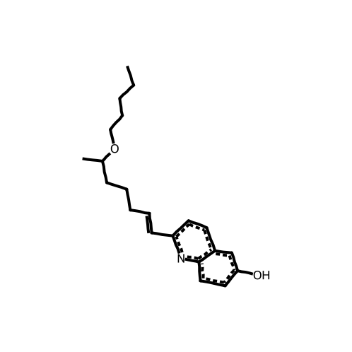 CCCCCOC(C)CCCC=Cc1ccc2cc(O)ccc2n1